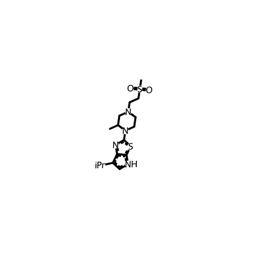 CC(C)c1c[nH]c2sc(N3CCN(CCS(C)(=O)=O)CC3C)nc12